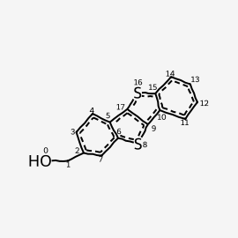 OCc1ccc2c(c1)sc1c3ccccc3sc21